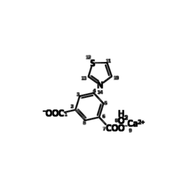 O.O=C([O-])c1cccc(C(=O)[O-])c1.[Ca+2].c1cscn1